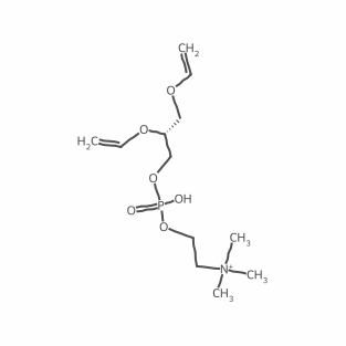 C=COC[C@H](COP(=O)(O)OCC[N+](C)(C)C)OC=C